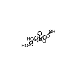 C[C@@](O)(CN1CCN(c2ccc(OCCO)cc2Cl)C(c2ccccc2)C1)c1ccc(CO)nc1